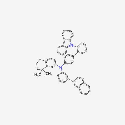 CC1(C)CCCc2ccc(N(c3ccc(-c4ccccc4-n4c5ccccc5c5ccccc54)cc3)c3cccc(-c4ccc5ccccc5c4)c3)cc21